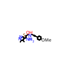 COc1ccc(C#CCNC(O)c2sc3nnc(C)c(C)c3c2N)cc1